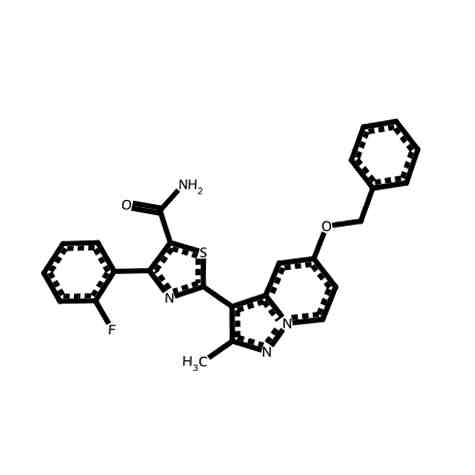 Cc1nn2ccc(OCc3ccccc3)cc2c1-c1nc(-c2ccccc2F)c(C(N)=O)s1